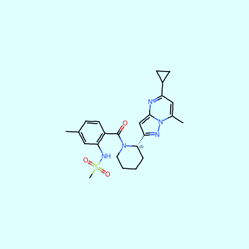 Cc1ccc(C(=O)N2CCCC[C@H]2c2cc3nc(C4CC4)cc(C)n3n2)c(NS(C)(=O)=O)c1